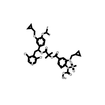 CC(C)(C)OC(=O)N(c1ccc(C(=O)OC(C)(C)C(=O)OC(Cc2c(Cl)cncc2Cl)c2ccc(OC(F)F)c(OCC3CC3)c2)cc1OCC1CC1)S(C)(=O)=O